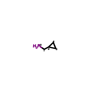 PCC1CC1